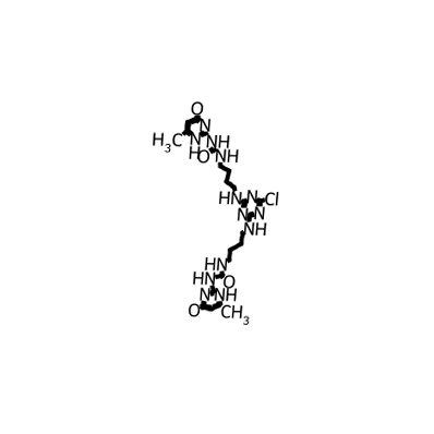 Cc1cc(=O)nc(NC(=O)NCCCCNc2nc(Cl)nc(NCCCCNC(=O)Nc3nc(=O)cc(C)[nH]3)n2)[nH]1